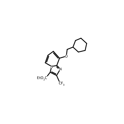 CCOC(=O)c1c(C(F)(F)F)nc2c(OCC3CCCCC3)cccn12